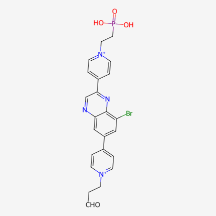 O=CCC[n+]1ccc(-c2cc(Br)c3nc(-c4cc[n+](CCP(=O)(O)O)cc4)cnc3c2)cc1